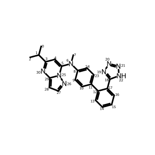 CC(C)c1cc(N(C)c2ccc(-c3ccccc3-c3nnn[nH]3)cc2)n2nccc2n1